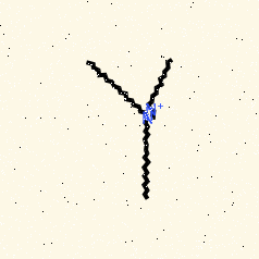 CCCCCCCCCCCCCCCCCCn1cc[n+](CCCCCCCCCCCC)c1CCCCCCCCCCCCCCCCC